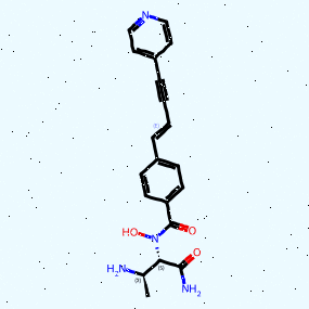 C[C@@H](N)[C@@H](C(N)=O)N(O)C(=O)c1ccc(/C=C/C#Cc2ccncc2)cc1